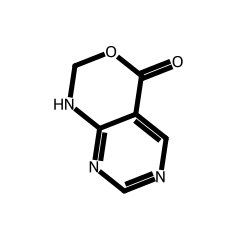 O=C1OCNc2ncncc21